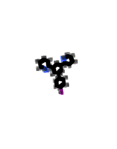 Ic1ccc(-c2cc(-c3ccccn3)cc(-c3ccccn3)c2)cc1